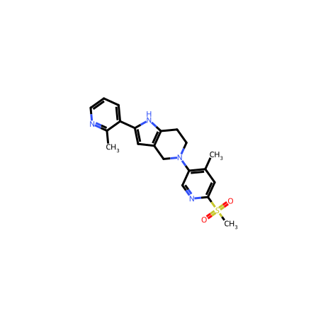 Cc1cc(S(C)(=O)=O)ncc1N1CCc2[nH]c(-c3cccnc3C)cc2C1